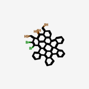 SC=c1ccc2c(c1=CS)c1c3c(=CS)c(=CS)c(Br)c(Br)c3c3c4ccccc4c4c5ccccc5c5c6ccccc6c6c7ccccc7c2c2c6c5c4c3c12